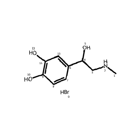 Br.CNCC(O)c1ccc(O)c(O)c1